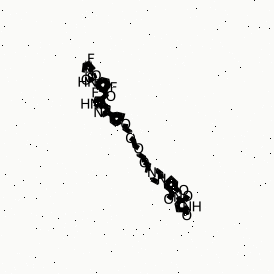 O=C1CCC(N2C(=O)c3ccc(N4CCN(CCOCCOCCOCCOc5ccc(-c6cnc7[nH]cc(C(=O)c8c(F)ccc(NS(=O)(=O)N9CC[C@@H](F)C9)c8F)c7c6)cc5)CC4)cc3C2=O)C(=O)N1